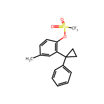 Cc1ccc(OS(=O)(=O)C(F)(F)F)c(C2(c3ccccc3)CC2)c1